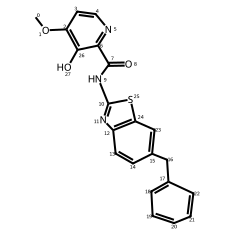 COc1ccnc(C(=O)Nc2nc3ccc(Cc4ccccc4)cc3s2)c1O